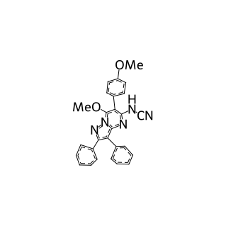 COc1ccc(-c2c(NC#N)nc3c(-c4ccccc4)c(-c4ccccc4)nn3c2OC)cc1